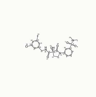 CN(C)S(=O)(=O)c1cccc(N2CC[C@](O)(C(=O)NCc3cc(F)cc(Cl)c3)C2=O)c1